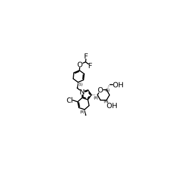 C[C@H]1C=C(Cl)c2c(c([C@H]3C[C@@H](O)C[C@@H](CO)O3)cn2C[C@@H]2C=CC(OC(F)F)=CC2)C1